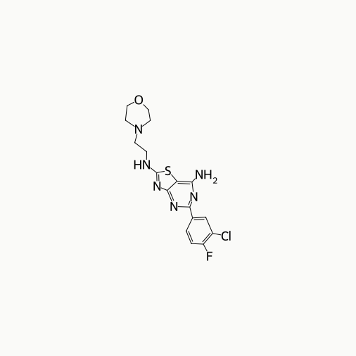 Nc1nc(-c2ccc(F)c(Cl)c2)nc2nc(NCCN3CCOCC3)sc12